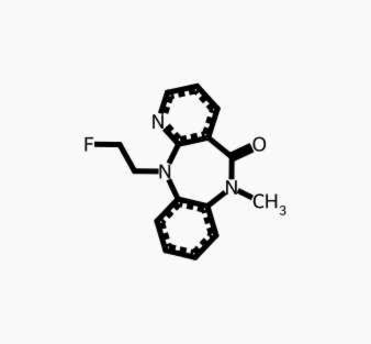 CN1C(=O)c2cccnc2N(CCF)c2ccccc21